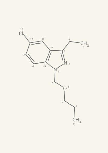 CCCOCn1nc(CC)c2cc(Cl)ccc21